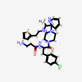 CC(NCCc1cccs1)C1(N2CCN(C(=O)C(Cc3ccc(Cl)cc3)NC(=O)CCN)CC2)C=CC=CN1